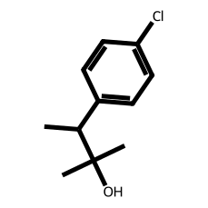 CC(c1ccc(Cl)cc1)C(C)(C)O